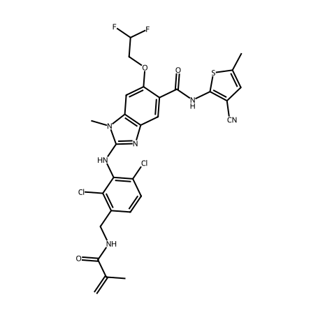 C=C(C)C(=O)NCc1ccc(Cl)c(Nc2nc3cc(C(=O)Nc4sc(C)cc4C#N)c(OCC(F)F)cc3n2C)c1Cl